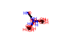 CNC(=O)CCCCCNC(=O)CN(CC(=O)NCCO[C@H]1O[C@H](CO)[C@@H](O)[C@H](O)[C@@H]1O)CC(=O)NCCO[C@@H]1O[C@@H](C)[C@@H](O)[C@@H](O)[C@@H]1O